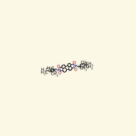 CC(CCN1C(=O)c2ccc3c4ccc5c6c(ccc(c7ccc(c2c37)C1=O)c64)C(=O)N(CCC(C)CC(C)(C)CC(C)(C)C)C5=O)CC(C)(C)CC(C)(C)C